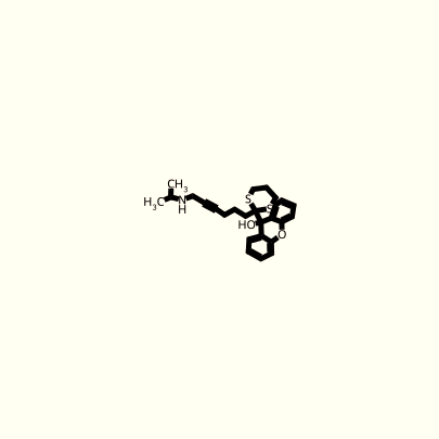 CC(C)NCC#CCCCC1(C2(O)c3ccccc3Oc3ccccc32)SCCCS1